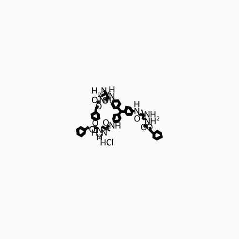 C[C@@](N)(CNC(=O)OCc1ccccc1)C(=O)Nc1ccc(C(c2ccc(NC(=O)[C@](C)(N)CNC(=O)OCc3ccccc3)cc2)c2ccc(NC(=O)[C@](C)(N)CNC(=O)OCc3ccccc3)cc2)cc1.Cl